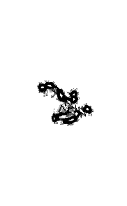 c1ccc(-c2nc(-c3nc4ccccc4nc3-c3ccccc3)nc(-n3c4cc5sc6c7ccccc7ccc6c5cc4c4c5ccccc5ccc43)n2)cc1